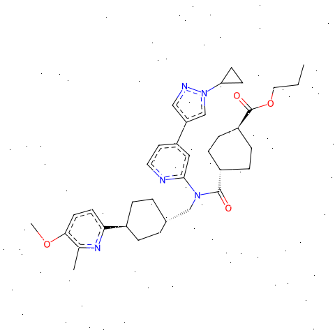 CCCOC(=O)[C@H]1CC[C@H](C(=O)N(C[C@H]2CC[C@H](c3ccc(OC)c(C)n3)CC2)c2cc(-c3cnn(C4CC4)c3)ccn2)CC1